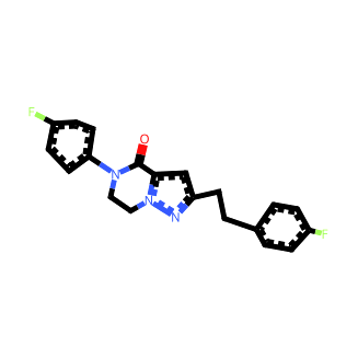 O=C1c2cc(CCc3ccc(F)cc3)nn2CCN1c1ccc(F)cc1